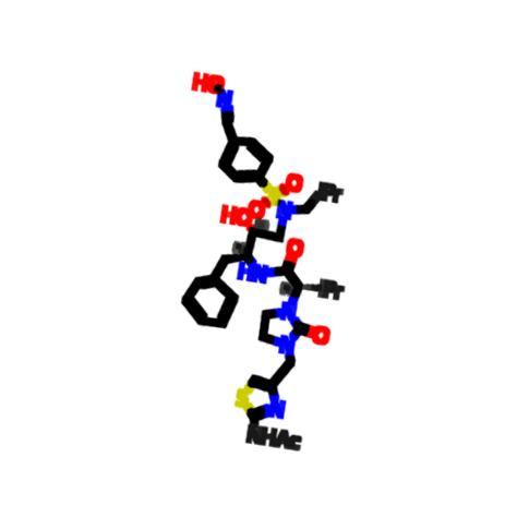 CC(=O)Nc1nc(CN2CCN([C@H](C(=O)N[C@@H](Cc3ccccc3)[C@H](O)CN(CC(C)C)S(=O)(=O)c3ccc(C=NO)cc3)C(C)C)C2=O)cs1